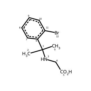 CC(C)(NCC(=O)O)c1ccccc1Br